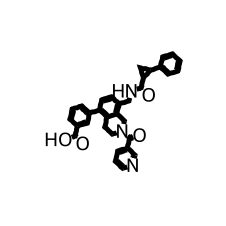 O=C(O)c1cccc(-c2ccc(CNC(=O)C3CC3c3ccccc3)c3c2CCN(C(=O)c2cccnc2)C3)c1